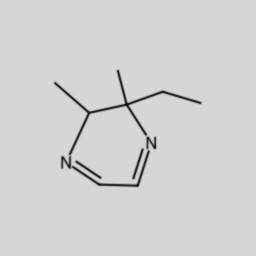 CCC1(C)N=CC=NC1C